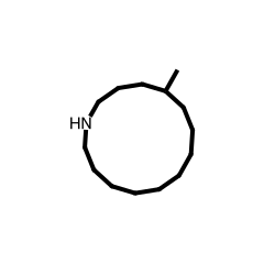 CC1CCCCCCCCCNCCC1